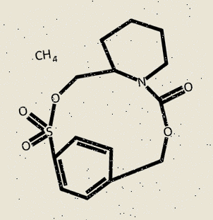 C.O=C1OCc2ccc(cc2)S(=O)(=O)OCC2CCCCN12